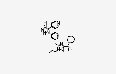 CCCn1nc(C(=O)C2CCCCC2)nc1Cc1ccc(-c2cnccc2-c2nnn[nH]2)cc1